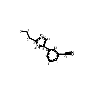 CCCc1nc(-c2cccc(C#N)c2)cs1